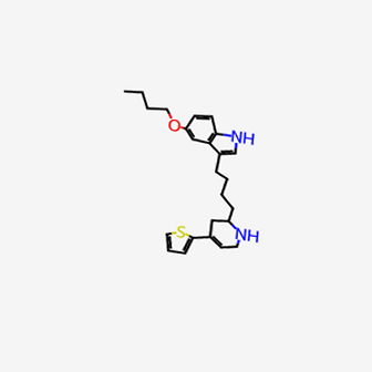 CCCCOc1ccc2[nH]cc(CCCCC3CC(c4cccs4)=CCN3)c2c1